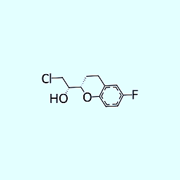 O[C@H](CCl)[C@@H]1CCc2cc(F)ccc2O1